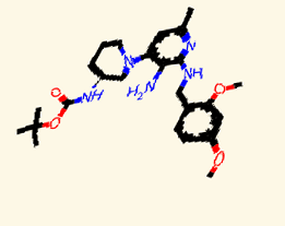 COc1ccc(CNc2nc(C)cc(N3CCC[C@@H](NC(=O)OC(C)(C)C)C3)c2N)c(OC)c1